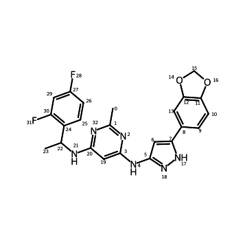 Cc1nc(Nc2cc(-c3ccc4c(c3)OCO4)[nH]n2)cc(NC(C)c2ccc(F)cc2F)n1